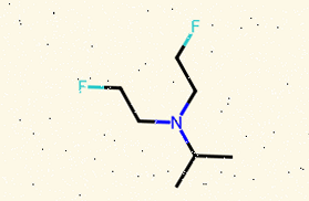 CC(C)N(CCF)CCF